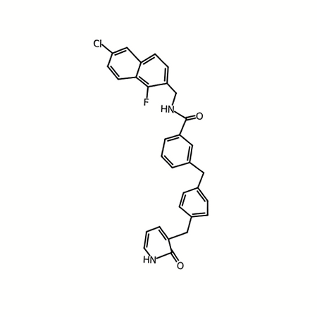 O=C(NCc1ccc2cc(Cl)ccc2c1F)c1cccc(Cc2ccc(Cc3ccc[nH]c3=O)cc2)c1